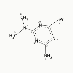 CC(C)c1nc(N)nc(N(C)C)n1